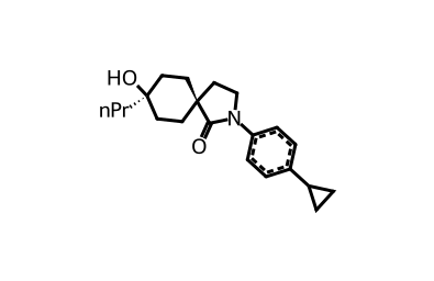 CCC[C@]1(O)CC[C@]2(CCN(c3ccc(C4CC4)cc3)C2=O)CC1